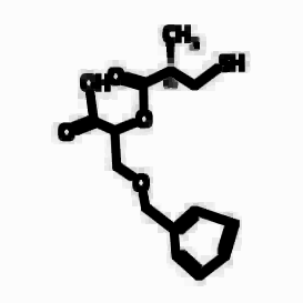 C[C@H](CS)C(=O)OC(COCc1ccccc1)C(=O)O